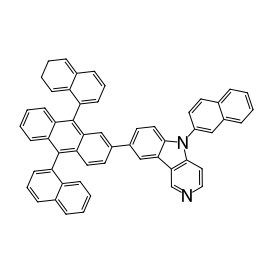 C1=c2cccc(-c3c4ccccc4c(-c4cccc5ccccc45)c4ccc(-c5ccc6c(c5)c5cnccc5n6-c5ccc6ccccc6c5)cc34)c2=CCC1